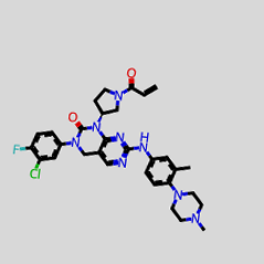 C=CC(=O)N1CC[C@H](N2C(=O)N(c3ccc(F)c(Cl)c3)Cc3cnc(Nc4ccc(N5CCN(C)CC5)c(C)c4)nc32)C1